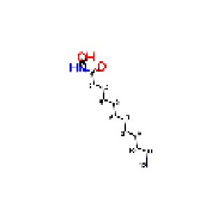 O=C(CCCCCCCCCCI)NO